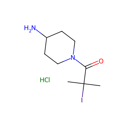 CC(C)(I)C(=O)N1CCC(N)CC1.Cl